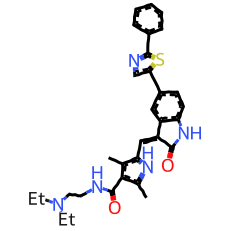 CCN(CC)CCNC(=O)c1c(C)[nH]c(/C=C2\C(=O)Nc3ccc(-c4cnc(-c5ccccc5)s4)cc32)c1C